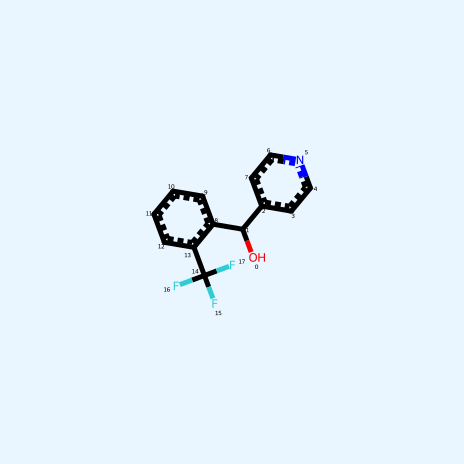 OC(c1ccncc1)c1ccccc1C(F)(F)F